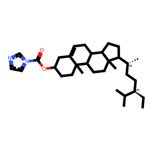 CC[C@H](CC[C@@H](C)C1CCC2C3CC=C4CC(OC(=O)n5ccnc5)CCC4(C)C3CCC21C)C(C)C